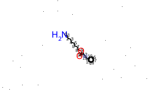 NCCCCCCCCOC(=O)/C=C/c1ccccc1